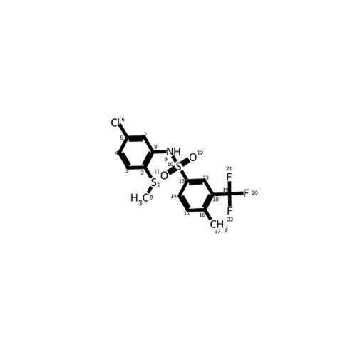 CSc1ccc(Cl)cc1NS(=O)(=O)c1ccc(C)c(C(F)(F)F)c1